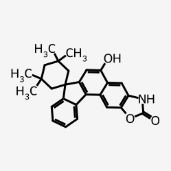 CC1(C)CC(C)(C)CC2(C1)c1ccccc1-c1c2cc(O)c2cc3[nH]c(=O)oc3cc12